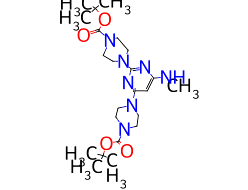 CNc1cc(N2CCN(C(=O)OC(C)(C)C)CC2)nc(N2CCN(C(=O)OC(C)(C)C)CC2)n1